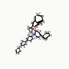 c1ccc(-c2ccc(-c3ccc(N(c4ccc(-c5ccccc5)cc4)c4cccc5c4oc4cc6ccccc6cc45)cc3)cc2)cc1